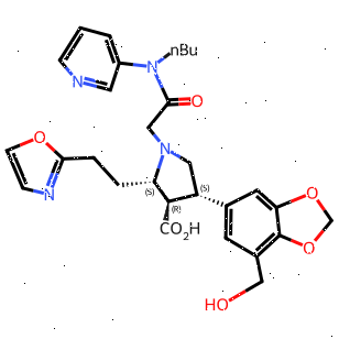 CCCCN(C(=O)CN1C[C@H](c2cc(CO)c3c(c2)OCO3)[C@@H](C(=O)O)[C@@H]1CCc1ncco1)c1cccnc1